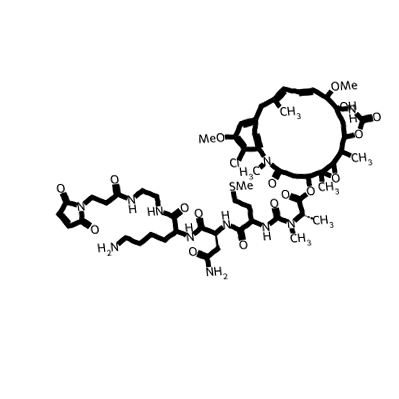 COc1cc2cc(c1Cl)N(C)C(=O)CC(OC(=O)[C@H](C)N(C)C(=O)NC(CCSC)C(=O)N[C@@H](CC(N)=O)C(=O)NC(CCCCN)C(=O)NCCNC(=O)CCN1C(=O)C=CC1=O)C1(C)OC1C(C)C1CC(O)(NC(=O)O1)C(OC)/C=C/C=C(\C)C2